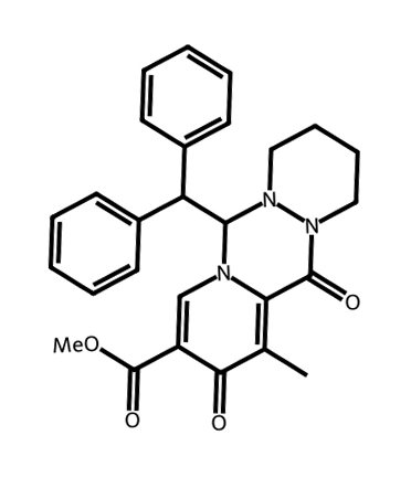 COC(=O)c1cn2c(c(C)c1=O)C(=O)N1CCCCN1C2C(c1ccccc1)c1ccccc1